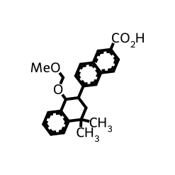 COCOC1c2ccccc2C(C)(C)CC1c1ccc2cc(C(=O)O)ccc2c1